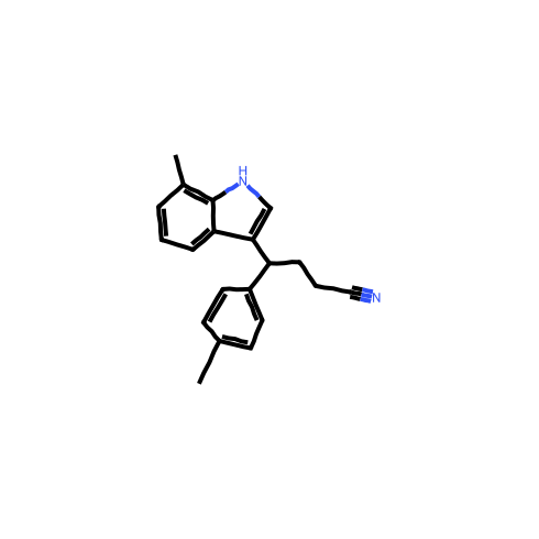 Cc1ccc(C(CCC#N)c2c[nH]c3c(C)cccc23)cc1